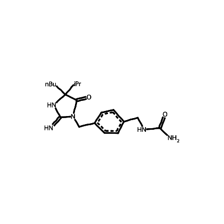 CCCCC1(C(C)C)NC(=N)N(Cc2ccc(CNC(N)=O)cc2)C1=O